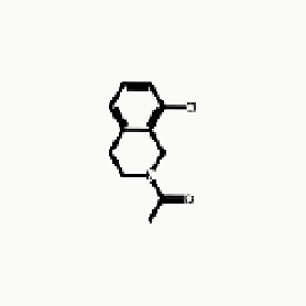 CC(=O)N1CCc2cccc(Cl)c2C1